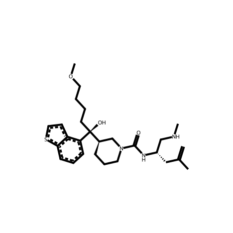 C=C(C)C[C@@H](CNC)NC(=O)N1CCC[C@@H]([C@@](O)(CCCCOC)c2cccc3sccc23)C1